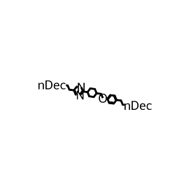 CCCCCCCCCCCCc1ccc(OCC2CCC(c3ncc(CCCCCCCCCCCC)cn3)CC2)cc1